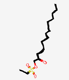 CCCCCCCCCCCC(=O)COS(=O)(=O)CC